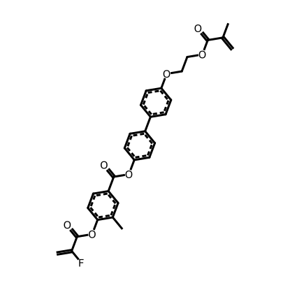 C=C(C)C(=O)OCCOc1ccc(-c2ccc(OC(=O)c3ccc(OC(=O)C(=C)F)c(C)c3)cc2)cc1